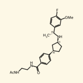 COc1cc([C@@H](C)N[C@H]2CC[C@@H](c3ccc(C(=O)NCCNC(C)=O)cc3)C2)ccc1F